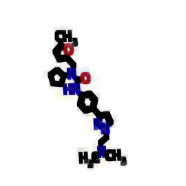 Cc1ccc(CN(C(=O)Nc2ccc(-c3ccn(CCN(C)C)n3)cc2)C2CCCC2)o1